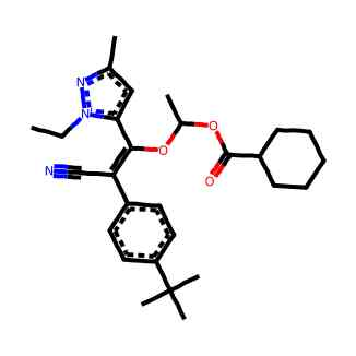 CCn1nc(C)cc1/C(OC(C)OC(=O)C1CCCCC1)=C(\C#N)c1ccc(C(C)(C)C)cc1